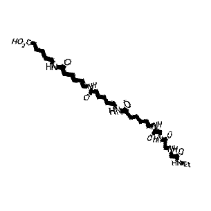 CCNC(=O)CNCC(=O)NCC(=O)NCCCCCC(=O)NCCCCCC(=O)NCCCCCC(=O)NCCCCCC(=O)O